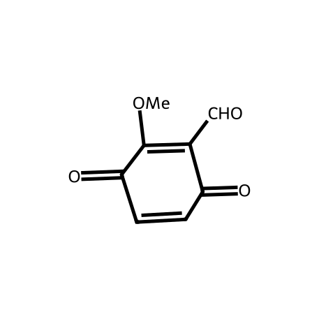 COC1=C(C=O)C(=O)C=CC1=O